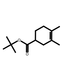 CC1=C(C)CC(C(=O)OC(C)(C)C)CC1